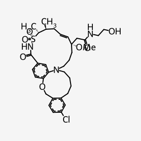 CO[C@@]1(CC(=O)NCCO)/C=C/C[C@H](C)[C@@H](C)S(=O)(=O)NC(=O)c2ccc3c(c2)N(CCCCc2cc(Cl)ccc2CO3)CCC1